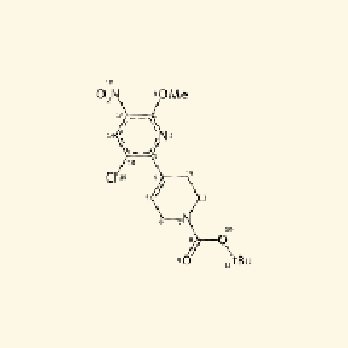 COc1nc(C2=CCN(C(=O)OC(C)(C)C)CC2)c(Cl)cc1[N+](=O)[O-]